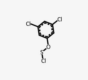 ClSOc1cc(Cl)cc(Cl)c1